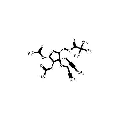 C#CCO[C@]1(CC#CC)[C@@H](COC(=O)C(C)(C)C)O[C@H](OC(C)=O)[C@@H]1OC(C)=O